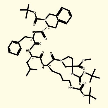 COC(=O)C1(NC(=O)OC(C)(C)C)CCN(C(=O)[C@@H](CCCCNC(=O)OC(C)(C)C)NC(=O)[C@@H](CC(C)C)NC(=O)[C@@H](Cc2ccccc2)NC(=O)[C@H]2Cc3ccccc3CN2C(=O)OC(C)(C)C)C1